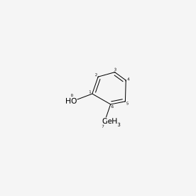 Oc1cccc[c]1[GeH3]